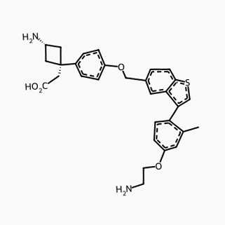 Cc1cc(OCCN)ccc1-c1csc2ccc(COc3ccc([C@]4(CC(=O)O)C[C@@H](N)C4)cc3)cc12